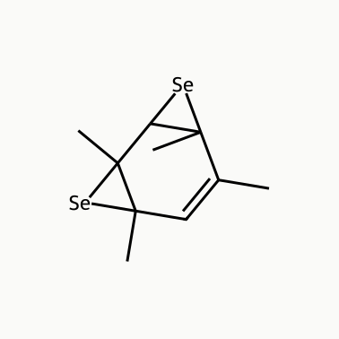 CC1=CC2(C)[Se]C2(C)C2[Se]C12C